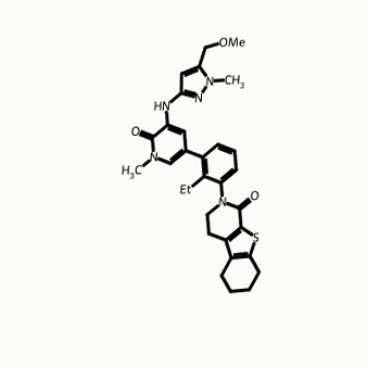 CCc1c(-c2cc(Nc3cc(COC)n(C)n3)c(=O)n(C)c2)cccc1N1CCc2c(sc3c2CCCC3)C1=O